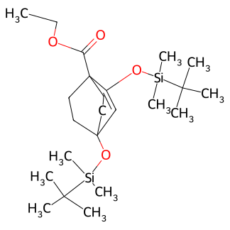 CCOC(=O)C12CCC(O[Si](C)(C)C(C)(C)C)(C=C1O[Si](C)(C)C(C)(C)C)CC2